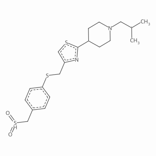 C[C](C)CN1CCC(c2nc(CSc3ccc(C[SH](=O)=O)cc3)cs2)CC1